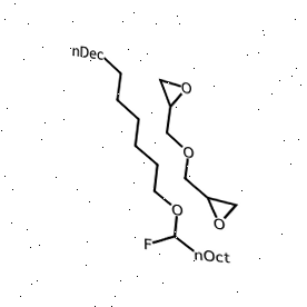 C(OCC1CO1)C1CO1.CCCCCCCCCCCCCCCCOC(F)CCCCCCCC